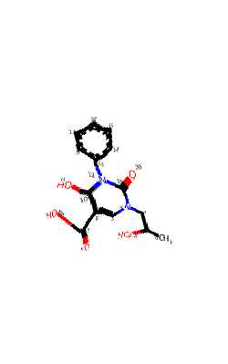 CC(O)CN1C=C(C(=O)O)C(O)N(c2ccccc2)C1=O